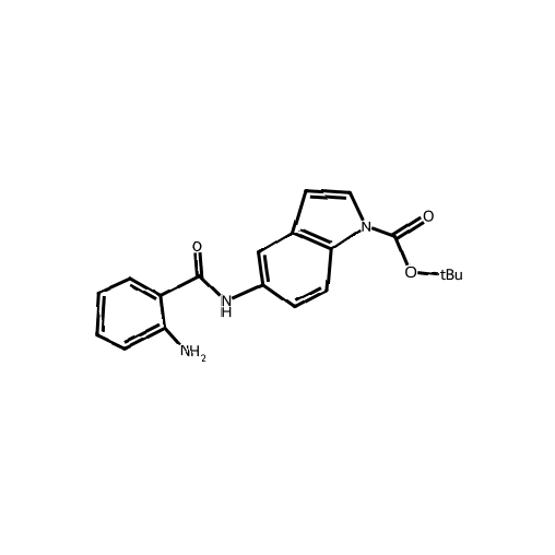 CC(C)(C)OC(=O)n1ccc2cc(NC(=O)c3ccccc3N)ccc21